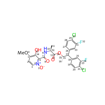 COc1cc[n+]([O-])c(C(=O)N[C@@H](C)C(=O)O[C@@H](C)C(c2ccc(Cl)c(F)c2)c2ccc(Cl)c(F)c2)c1O